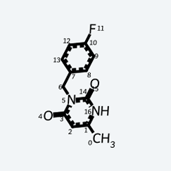 Cc1cc(=O)n(Cc2ccc(F)cc2)c(=O)[nH]1